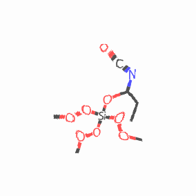 CCC(N=C=O)O[Si](OOC)(OOC)OOC